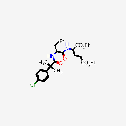 CCOC(=O)CC[C@@H](NC(=O)[C@H](CC(C)C)NC(=O)C(C)(C)c1ccc(Cl)cc1)C(=O)OCC